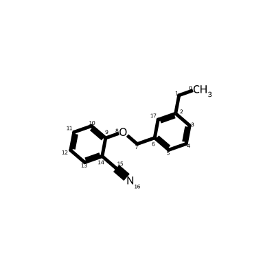 CCc1cccc(COc2ccccc2C#N)c1